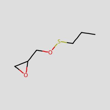 CCCSOCC1CO1